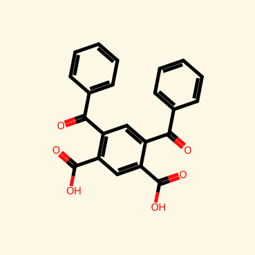 O=C(O)c1cc(C(=O)O)c(C(=O)c2ccccc2)cc1C(=O)c1ccccc1